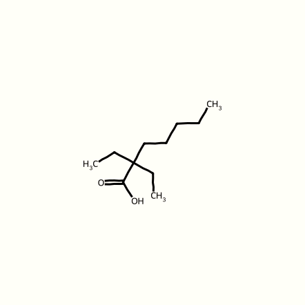 CCCCCC(CC)(CC)C(=O)O